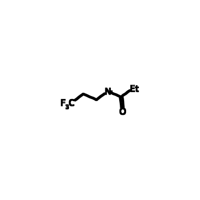 CCC(=O)[N]CCC(F)(F)F